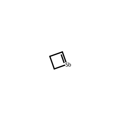 [CH]1=[Sb][CH2]C1